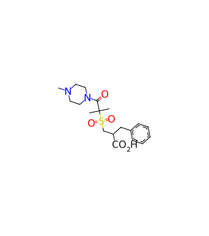 CN1CCN(C(=O)C(C)(C)S(=O)(=O)CC(Cc2ccccc2)C(=O)O)CC1